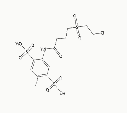 Cc1cc(S(=O)(=O)O)c(NC(=O)CCCS(=O)(=O)CCCl)cc1S(=O)(=O)O